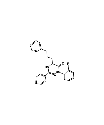 O=C(NC(CCCc1ccccc1)C(=O)Nc1ccccc1F)c1ccccc1